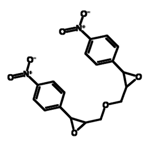 O=[N+]([O-])c1ccc(C2OC2COCC2OC2c2ccc([N+](=O)[O-])cc2)cc1